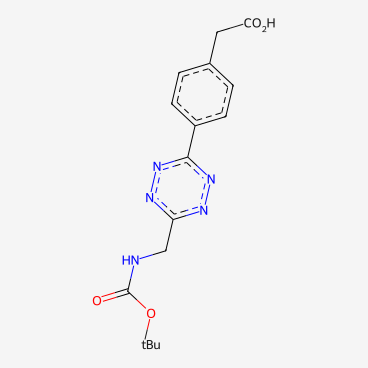 CC(C)(C)OC(=O)NCc1nnc(-c2ccc(CC(=O)O)cc2)nn1